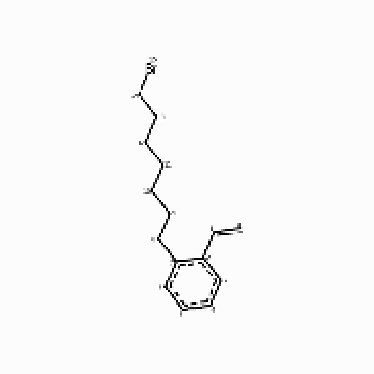 C=Cc1ccccc1CCCCCCCBr